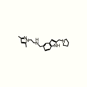 Cc1cc(C)n(CCNCc2ccc3[nH]c(CN4CCCC4)cc3c2)n1